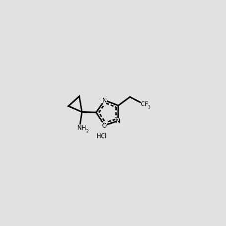 Cl.NC1(c2nc(CC(F)(F)F)no2)CC1